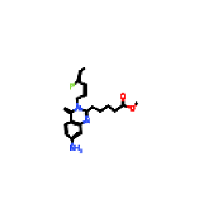 C=C1c2ccc(N)cc2N=C(CCCCC(=O)OC)N1C/C=C\C(F)=C/C